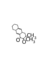 CC1(C)CC2C=C3CCCCC3C=C2C(=O)C1=O